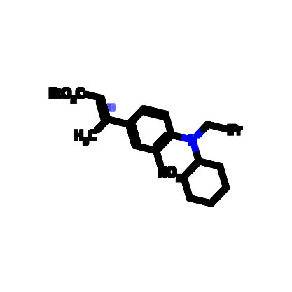 CCOC(=O)/C=C(\C)c1ccc(N(CC(C)C)C2CCCCC2)c([N+](=O)[O-])c1